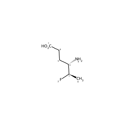 C[C@@H](F)[C@@H](N)CCC(=O)O